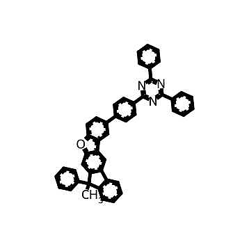 CC1(c2ccccc2)c2ccccc2-c2cc3c(cc21)oc1ccc(-c2ccc(-c4nc(-c5ccccc5)nc(-c5ccccc5)n4)cc2)cc13